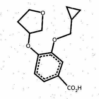 O=C(O)c1ccc(OC2CCOC2)c(OCC2CC2)c1